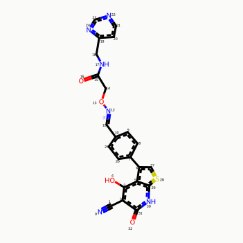 N#Cc1c(O)c2c(-c3ccc(/C=N/OCC(=O)NCc4ccncn4)cc3)csc2[nH]c1=O